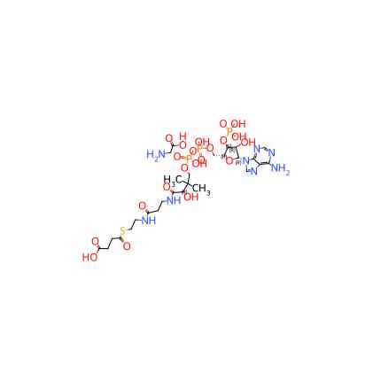 CC(C)(COP(=O)(O)OP(=O)(O)OC[C@H]1O[C@@H](n2cnc3c(N)ncnc32)[C@H](O)[C@@H]1OP(=O)(O)O)[C@@H](O)C(=O)NCCC(=O)NCCSC(=O)CCC(=O)O.NCC(=O)O